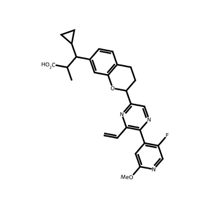 C=Cc1nc(C2CCc3ccc(C(C4CC4)C(C)C(=O)O)cc3O2)cnc1-c1cc(OC)ncc1F